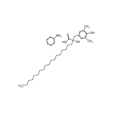 CCCCCCCCCCCCCCCCCCC(S)(Cc1cc(C)c(O)c(C)c1)C(=O)O.Nc1ccccc1